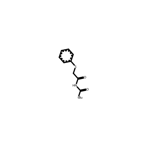 CC(C)(C)C(=O)NC(=O)CSc1ccccc1